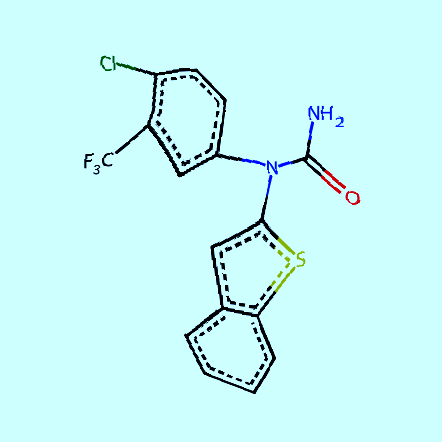 NC(=O)N(c1ccc(Cl)c(C(F)(F)F)c1)c1cc2ccccc2s1